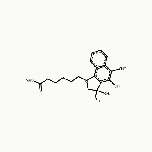 COC(=O)CCCCCN1CC(C)(C)c2c(O)c(C=O)c3ccccc3c21